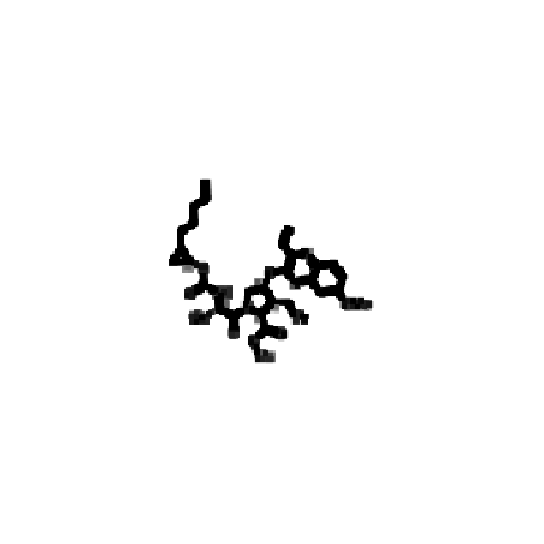 C=CCCCC1C[C@H]1OC(=O)N[C@H](C(=O)N1C[C@H](Oc2nc3cc(OC)ccc3nc2C=C)[C@@H](CC(C)C)[C@H]1C(=O)OC(C)(C)C)C(C)(C)C